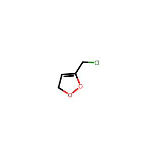 ClCC1=CCOO1